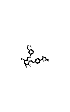 CCc1cccc(OCc2c(Cl)cc(Cl)c(=O)n2CCc2ccc(C3=NCC(=S)O3)cc2)c1